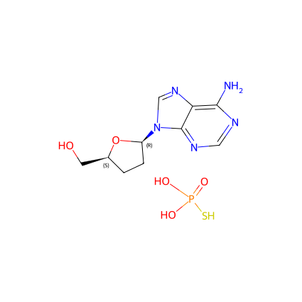 Nc1ncnc2c1ncn2[C@H]1CC[C@@H](CO)O1.O=P(O)(O)S